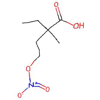 CCC(C)(CCO[N+](=O)[O-])C(=O)O